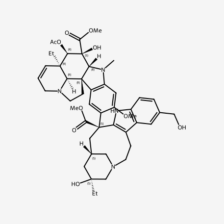 CC[C@]1(O)C[C@H]2CN(CCc3c([nH]c4ccc(CO)cc34)[C@@](C(=O)OC)(c3cc4c(cc3OC)N(C)[C@H]3[C@@](O)(C(=O)OC)[C@H](OC(C)=O)[C@]5(CC)C=CCN6CC[C@]43[C@@H]65)C2)C1